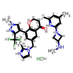 CNC1CN(c2cc(C)cc(C[C@H]3COc4c(cc(Cn5ccnc5C)cc4-c4cn(C)nc4C(F)(F)F)C3=O)n2)C1.Cl